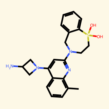 Cc1cccc2c(N3CC(N)C3)cc(N3CCS(O)(O)c4ccccc4C3)nc12